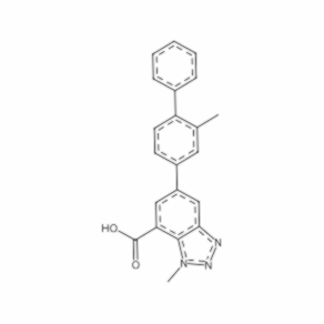 Cc1cc(-c2cc(C(=O)O)c3c(c2)nnn3C)ccc1-c1ccccc1